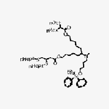 CCCCCCCCC(CCCCCC)C(=O)OCCCCCC(CCCCCOC(=O)CC(CSCCCCCCC)SCCCCCCC)N(C)CCCCO[Si](c1ccccc1)(c1ccccc1)C(C)(C)C